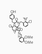 COc1cccc(CNC(=O)N2[C@H]3CN(Cc4cccc(Cl)c4N(C)C)C(=O)[C@H](Cc4ccc(O)cc4)N3C(=O)CN2C)c1OC